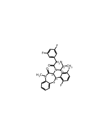 C[C@H](N)C(=O)N(C(=O)Cc1cc(F)cc(F)c1)[C@@H]1C(=O)N(C)c2ccccc2S[C@@H]1c1cc(F)ccc1F